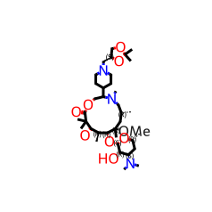 CO[C@]1(C)C[C@@H](C)CN(C)C(C2CCN(C[C@H]3COC(C)(C)O3)CC2)COC(=O)C(C)(C)C(=O)[C@H](C)[C@H]1O[C@@H]1O[C@H](C)C[C@H](N(C)C)[C@H]1O